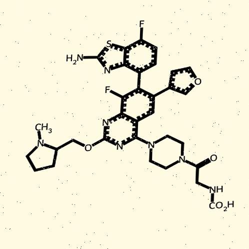 CN1CCCC1COc1nc(N2CCN(C(=O)CNC(=O)O)CC2)c2cc(-c3ccoc3)c(-c3ccc(F)c4sc(N)nc34)c(F)c2n1